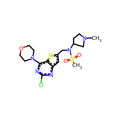 CN1CCC(N(Cc2cc3nc(Cl)nc(N4CCOCC4)c3s2)S(C)(=O)=O)C1